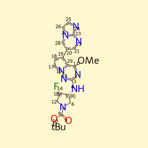 COc1nc(N[C@@H]2CN(C(=O)OC(C)(C)C)C[C@@H]2F)nn2ccc(-c3cnc4nccn4c3)c12